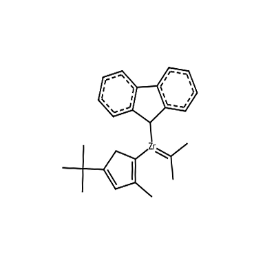 CC1=[C]([Zr](=[C](C)C)[CH]2c3ccccc3-c3ccccc32)CC(C(C)(C)C)=C1